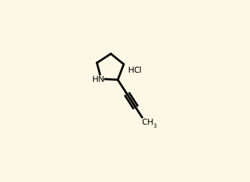 CC#CC1CCCN1.Cl